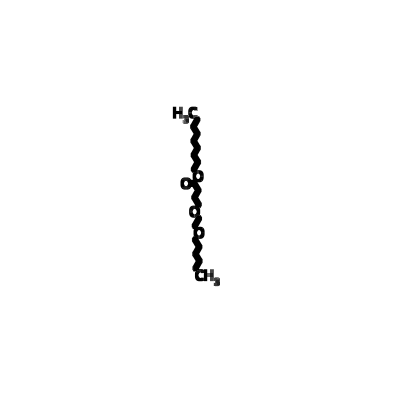 CCCCCCCCCOC(=O)CCCOCCOCCCCCC